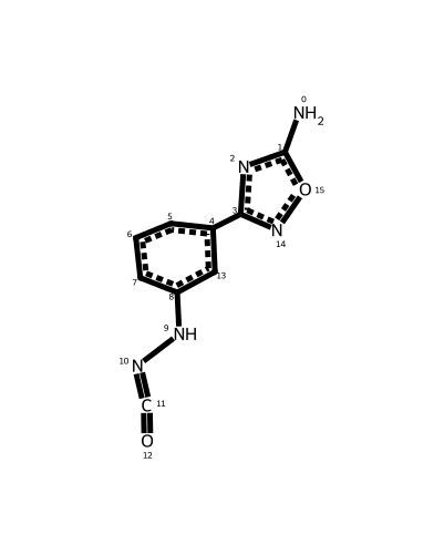 Nc1nc(-c2cccc(NN=C=O)c2)no1